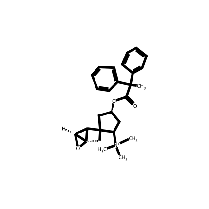 CC(C(=O)O[C@H]1CC([N+](C)(C)C)C2(C1)C[C@]13O[C@H]1C23)(c1ccccc1)c1ccccc1